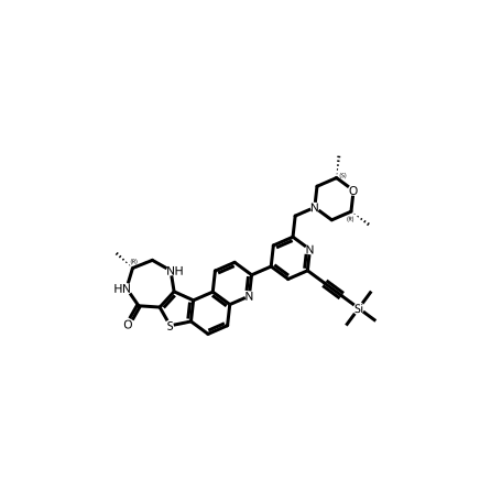 C[C@@H]1CNc2c(sc3ccc4nc(-c5cc(C#C[Si](C)(C)C)nc(CN6C[C@@H](C)O[C@@H](C)C6)c5)ccc4c23)C(=O)N1